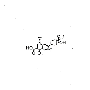 CCP(=O)(O)N1CCN(c2cc3c(cc2F)c(=O)c(C(=O)O)cn3C2CC2)CC1